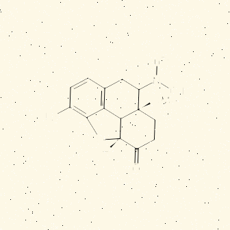 CCCN(C)C1Cc2ccc(O)c3c2C2[C@@H](O3)C(=O)CC[C@]21OC